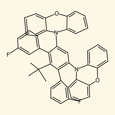 CC(C)(C)c1c(-c2cccc(F)c2)c(N2c3ccccc3Oc3ccccc32)cc(N2c3ccccc3Oc3ccccc32)c1-c1cccc(F)c1